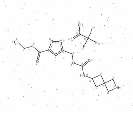 CCOC(=O)c1cc(COC(=O)NC2CC3(CNC3)C2)on1.O=C(O)C(F)(F)F